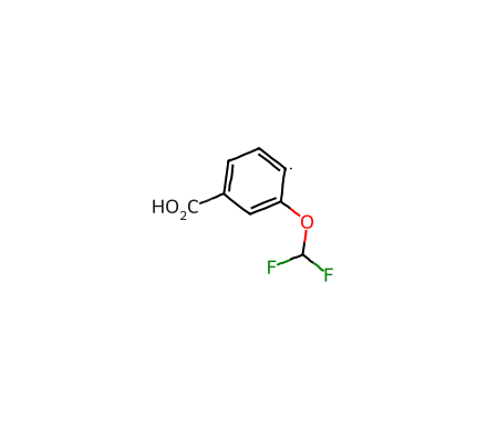 O=C(O)c1cc[c]c(OC(F)F)c1